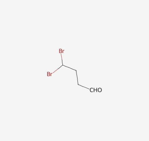 O=CCCC(Br)Br